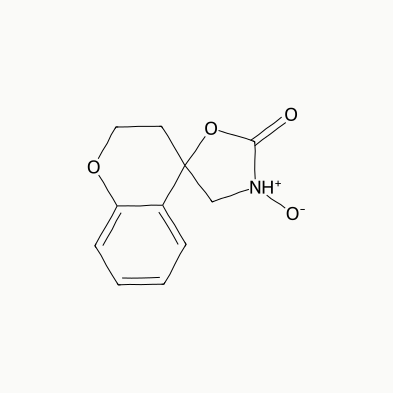 O=C1OC2(CCOc3ccccc32)C[NH+]1[O-]